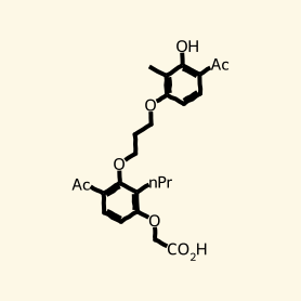 CCCc1c(OCC(=O)O)ccc(C(C)=O)c1OCCCOc1ccc(C(C)=O)c(O)c1C